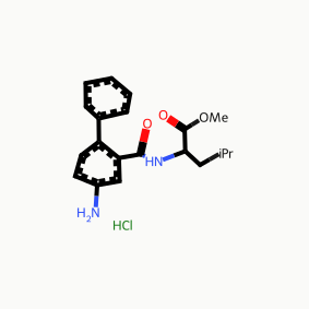 COC(=O)C(CC(C)C)NC(=O)c1cc(N)ccc1-c1ccccc1.Cl